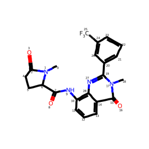 CN1C(=O)CCC1C(=O)Nc1cccc2c(=O)n(C)c(-c3cccc(C(F)(F)F)c3)nc12